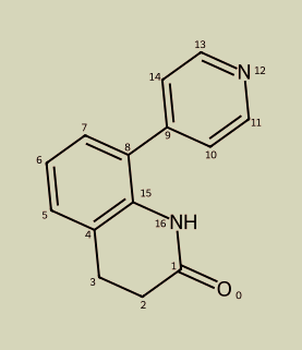 O=C1CCc2cccc(-c3ccncc3)c2N1